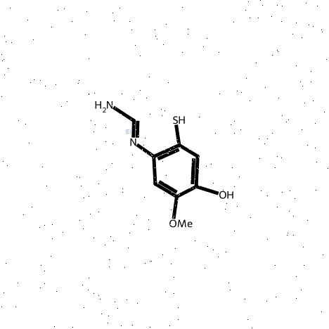 COc1cc(/N=C/N)c(S)cc1O